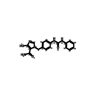 NC(=O)c1c(O)ncn1Cc1ccc(NC(=O)Nc2ccccc2)cc1